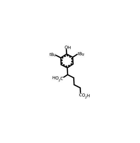 CC(C)(C)c1cc(C(CCCC(=O)O)C(=O)O)cc(C(C)(C)C)c1O